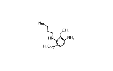 CCc1c(N)ccc(OC)c1NCCCC#N